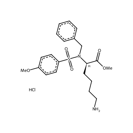 COC(=O)[C@@H](CCCCN)N(Cc1ccccc1)S(=O)(=O)c1ccc(OC)cc1.Cl